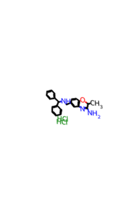 CC1Oc2ccc(CNC(c3ccccc3)c3ccccc3)cc2N=C1N.Cl.Cl